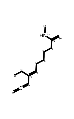 C=C=C/C(=C/CCCCC(=C)NC)CC